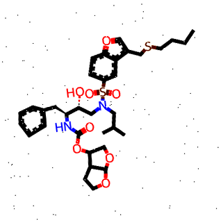 CCCCSCc1coc2ccc(S(=O)(=O)N(CC(C)C)C[C@@H](O)[C@H](Cc3ccccc3)NC(=O)OC3COC4OCCC34)cc12